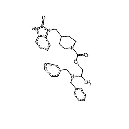 CC(COC(=O)N1CCC(Cn2c(=O)[nH]c3ccccc32)CC1)N(Cc1ccccc1)Cc1ccccc1